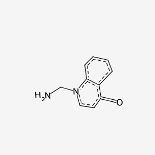 NCn1ccc(=O)c2ccccc21